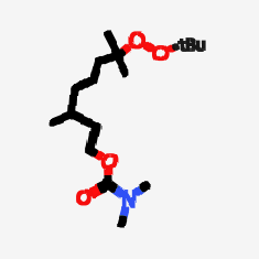 CC(CCCC(C)(C)OOC(C)(C)C)CCOC(=O)N(C)C